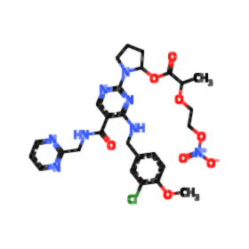 COc1ccc(CNc2nc(N3CCCC3OC(=O)C(C)OCCO[N+](=O)[O-])ncc2C(=O)NCc2ncccn2)cc1Cl